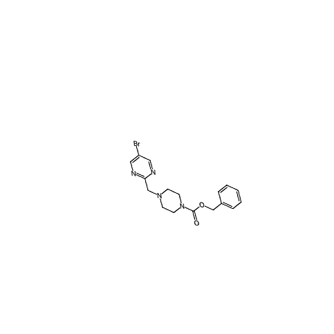 O=C(OCc1ccccc1)N1CCN(Cc2ncc(Br)cn2)CC1